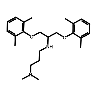 Cc1cccc(C)c1OCC(COc1c(C)cccc1C)NCCCN(C)C